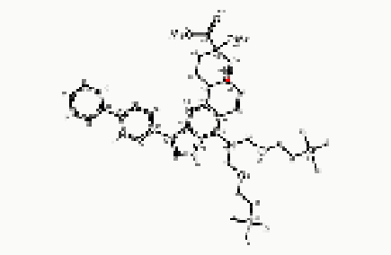 CCO/C=C\c1c(N(COCC[Si](C)(C)C)COCC[Si](C)(C)C)n2ncc(-c3ccc(-c4ccccc4)nc3)c2nc1[C@H]1CC[C@](OC)(C(=O)OC)CC1